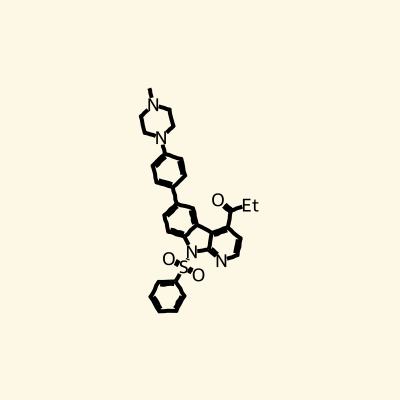 CCC(=O)c1ccnc2c1c1cc(-c3ccc(N4CCN(C)CC4)cc3)ccc1n2S(=O)(=O)c1ccccc1